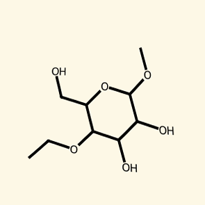 CCOC1C(CO)OC(OC)C(O)C1O